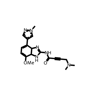 COC1=CC=C(c2cnn(C)c2)C2N=C(NC(=O)C#CCN(C)C)NC12